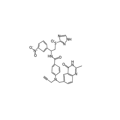 C#CCN(Cc1ccc2nc(C)[nH]c(=O)c2c1)c1ccc(C(=O)NC(C[S+]([O-])c2nc[nH]n2)c2cccc([N+](=O)[O-])c2)cc1